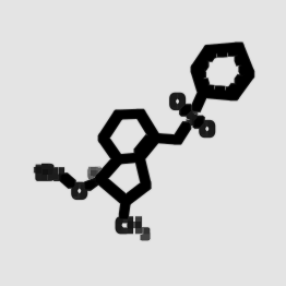 CC1CC2=C(CS(=O)(=O)c3ccccc3)CCCC2[C@@H]1OC(C)(C)C